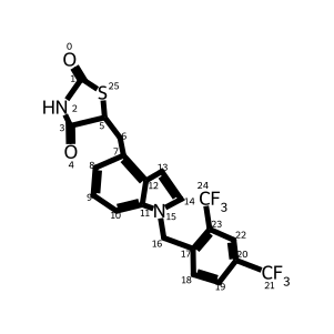 O=C1NC(=O)C(Cc2cccc3c2ccn3Cc2ccc(C(F)(F)F)cc2C(F)(F)F)S1